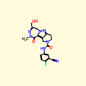 CN1N=C(CO)Cn2nc3c(c2C1=O)CN(C(=O)Nc1ccc(F)c(C#N)c1)CC3